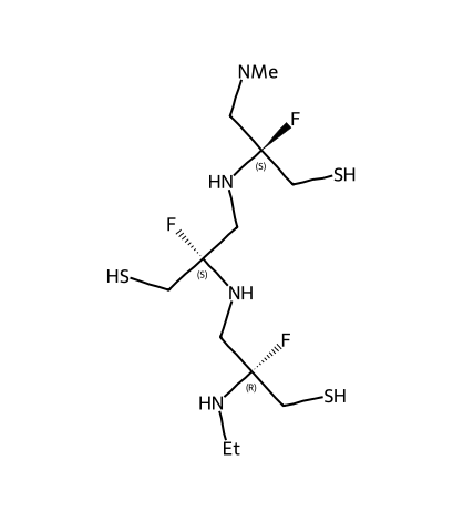 CCN[C@](F)(CS)CN[C@@](F)(CS)CN[C@@](F)(CS)CNC